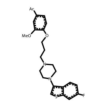 COc1cc(C(C)=O)ccc1OCCCN1CCN(c2csc3cc(F)ccc23)CC1